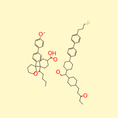 CCC(=O)CCC1CCC(C(C=O)C2CCC(c3ccc(-c4ccc(CCCF)cc4)cc3)CC2)CC1.CCCCC(=O)C1(C2(c3ccc(-c4ccc(OC)cc4)cc3)CCCCC2)CCC(C(=O)O)CC1